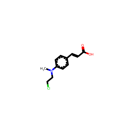 CN(CCCl)c1ccc(C=CC(=O)O)cc1